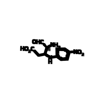 N[C@H](C=O)C(CC(=O)O)Nc1ccc([N+](=O)[O-])cc1